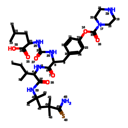 CCC(C)C(NC(=O)C(Cc1ccc(OC(=O)N2CCNCC2)cc1)NC(=O)NC(CC(C)C)C(=O)O)C(=O)NC(C)(C)CC(C)(C)C(N)=S